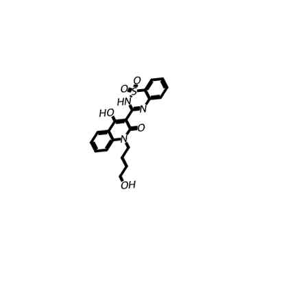 O=c1c(C2=Nc3ccccc3S(=O)(=O)N2)c(O)c2ccccc2n1CCCCO